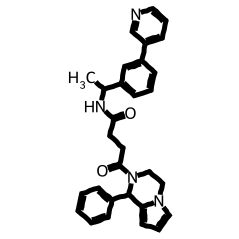 CC(NC(=O)CCC(=O)N1CCn2cccc2C1c1ccccc1)c1cccc(-c2cccnc2)c1